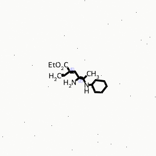 C=C/C(=C\C(N)=C(/C)NC1CCCCC1)C(=O)OCC